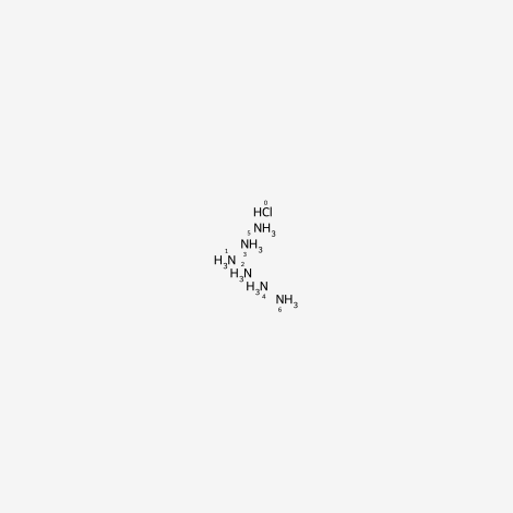 Cl.N.N.N.N.N.N